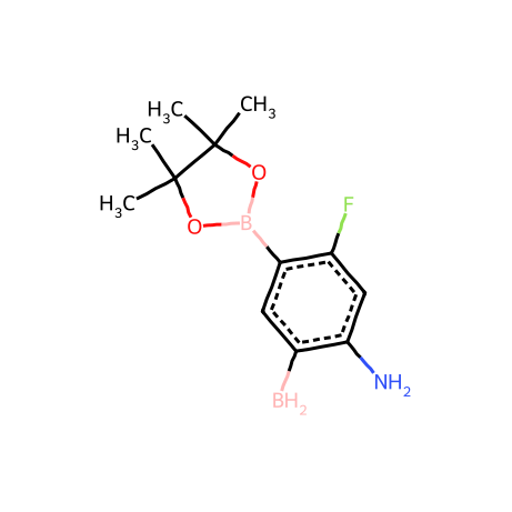 Bc1cc(B2OC(C)(C)C(C)(C)O2)c(F)cc1N